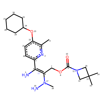 Cc1nc(/C(N)=C(\COC(=O)N2CC(C)(C)C2)N(C)N)ccc1OC1CCCCC1